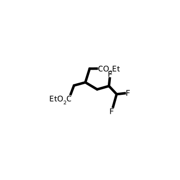 CCOC(=O)CC(CC(=O)OCC)CC(F)C(F)F